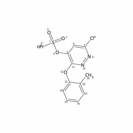 CCCS(=O)(=O)Oc1cc(Cl)nnc1Oc1ccccc1C